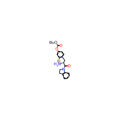 CC(C)COC(=O)Oc1ccc(C[C@H](N)C(=O)N2CCc3ccccc32)c(Br)c1